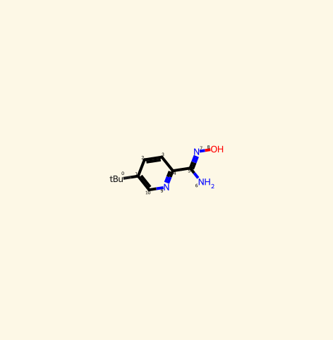 CC(C)(C)c1ccc(/C(N)=N/O)nc1